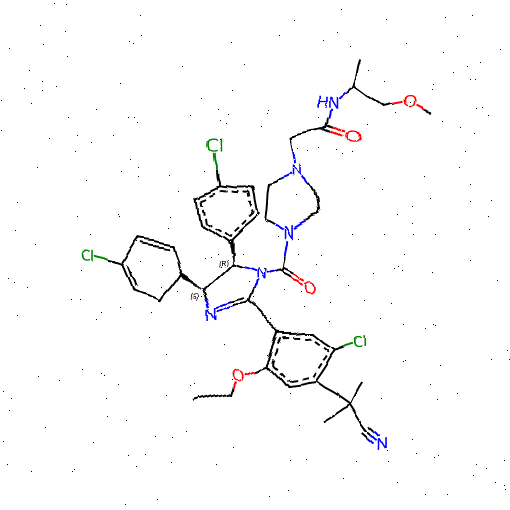 CCOc1cc(C(C)(C)C#N)c(Cl)cc1C1=N[C@@H](C2C=CC(Cl)=CC2)[C@@H](c2ccc(Cl)cc2)N1C(=O)N1CCN(CC(=O)NC(C)COC)CC1